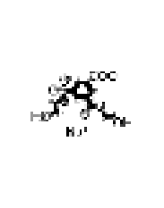 O=C([O-])c1cc(C(=O)OCCO)cc(S(=O)(=O)OCCO)c1.[Na+]